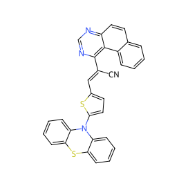 N#C/C(=C\c1ccc(N2c3ccccc3Sc3ccccc32)s1)c1ncnc2ccc3ccccc3c12